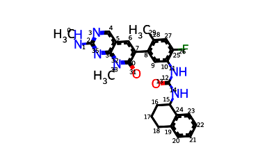 CNc1ncc2cc(-c3cc(NC(=O)NC4CCCc5ccccc54)c(F)cc3C)c(=O)n(C)c2n1